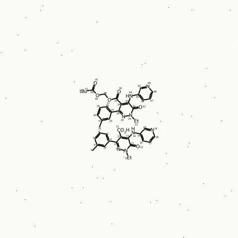 CCn1nc(-c2cccc(C)c2)c(C(=O)O)c(Nc2cccnc2)c1=O.CCn1nc(-c2cccc(C)c2)c(C(=O)OCOC(=O)C(C)(C)C)c(Nc2cccnc2)c1=O